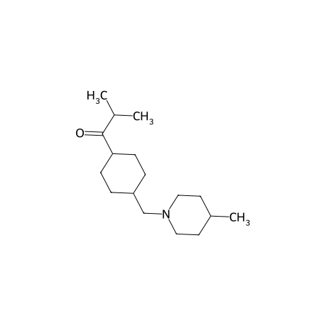 CC1CCN(CC2CCC(C(=O)C(C)C)CC2)CC1